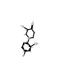 O=C1CCN(c2ccc(F)cc2Cl)CC1F